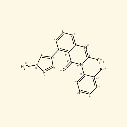 Cc1nc2cccc(-c3cnn(C)c3)c2c(=O)n1-c1ccccc1F